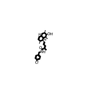 CC(=CC=C[C@@H]1[C@H]2[C@H](C)[C@@H](O)[C@H](C)C[C@@H]2C=C[C@@H]1C)C(=O)NCc1ccc(Cl)cc1